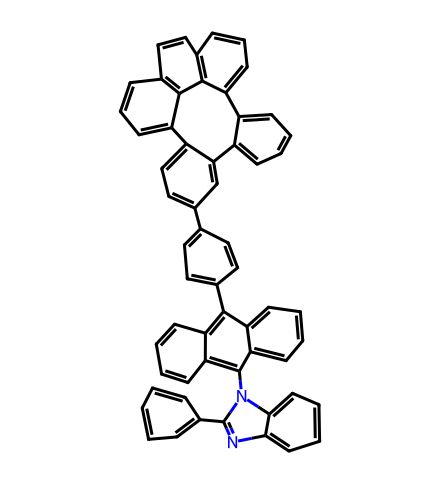 c1ccc(-c2nc3ccccc3n2-c2c3ccccc3c(-c3ccc(-c4ccc5c(c4)c4ccccc4c4cccc6ccc7cccc5c7c64)cc3)c3ccccc23)cc1